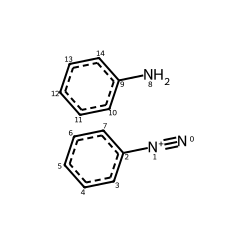 N#[N+]c1ccccc1.Nc1ccccc1